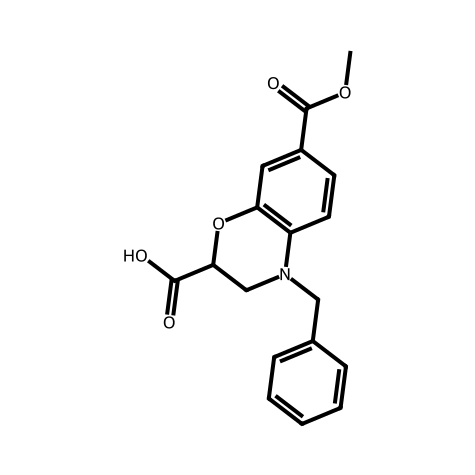 COC(=O)c1ccc2c(c1)OC(C(=O)O)CN2Cc1ccccc1